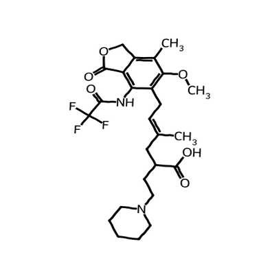 COc1c(C)c2c(c(NC(=O)C(F)(F)F)c1C/C=C(\C)CC(CCN1CCCCC1)C(=O)O)C(=O)OC2